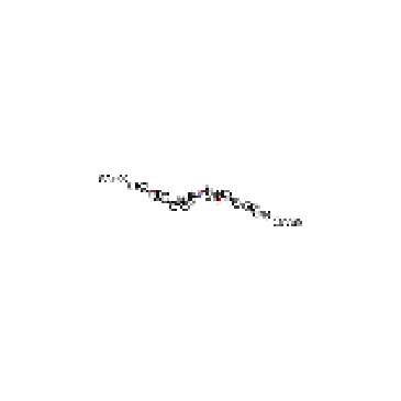 COCCOCCOCCOCCOCCOc1csc(-c2ccc(/C=C/c3ccc(-c4nc(OCCOCCOCCOCCOCCOC)cs4)s3)s2)n1